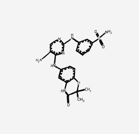 CC1(C)Oc2ccc(Nc3nc(Nc4cccc(S(N)(=O)=O)c4)ncc3N)cc2NC1=O